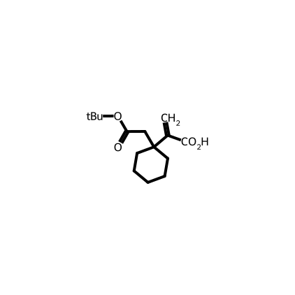 C=C(C(=O)O)C1(CC(=O)OC(C)(C)C)CCCCC1